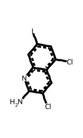 Nc1nc2cc(I)cc(Cl)c2cc1Cl